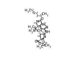 CCSCCC(C)Oc1ncc(C(C)(C)N)c2cc(Nc3ccc4c(n3)CC(C)(C)OC4=O)ncc12